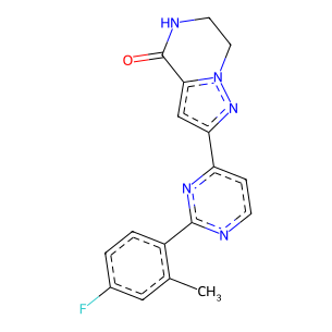 Cc1cc(F)ccc1-c1nccc(-c2cc3n(n2)CCNC3=O)n1